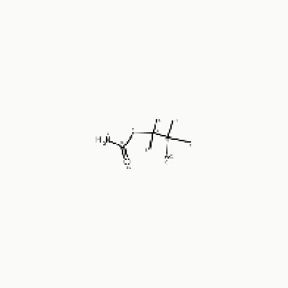 CC(=O)C(C)(C)C(C)(C)CC(N)=O